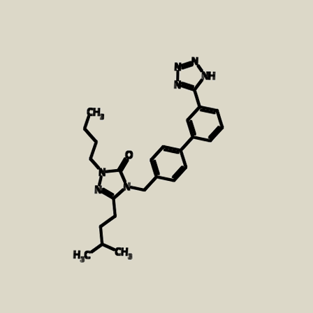 CCCCn1nc(CCC(C)C)n(Cc2ccc(-c3cccc(-c4nnn[nH]4)c3)cc2)c1=O